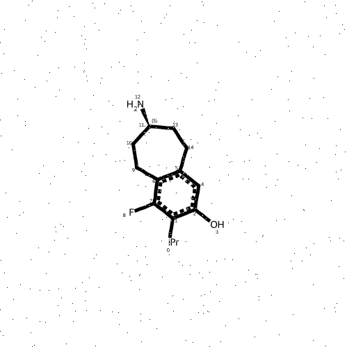 CC(C)c1c(O)cc2c(c1F)CC[C@@H](N)CC2